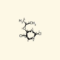 CC(C)Oc1nc(Cl)ncc1Cl